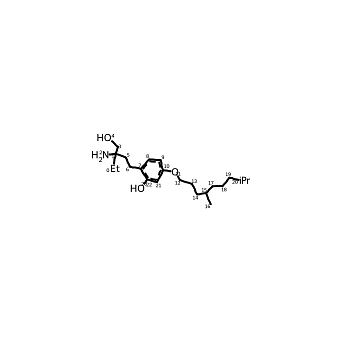 CCC(N)(CO)CCc1ccc(OCCCC(C)CCCC(C)C)cc1O